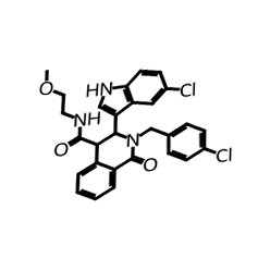 COCCNC(=O)C1c2ccccc2C(=O)N(Cc2ccc(Cl)cc2)C1c1c[nH]c2ccc(Cl)cc12